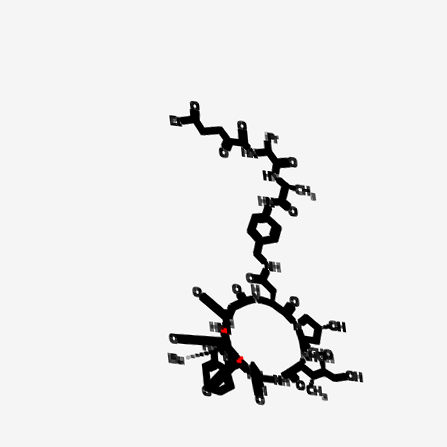 CCC(=O)CCC(=O)C(=O)NC(C(=O)N[C@@H](C)C(=O)Nc1ccc(CNC(=O)C[C@@H]2NC(=O)C3CSc4[nH]c5ccccc5c4C[C@H](NC(=O)[C@H]([C@@H](C)[C@@H](O)CO)N[C@@]4(C=O)C[C@@H](O)CN4C2=O)C(=O)NCC(=O)N[C@@H]([C@@H](C)CC)C(=O)NCC(=O)N3)cc1)C(C)C